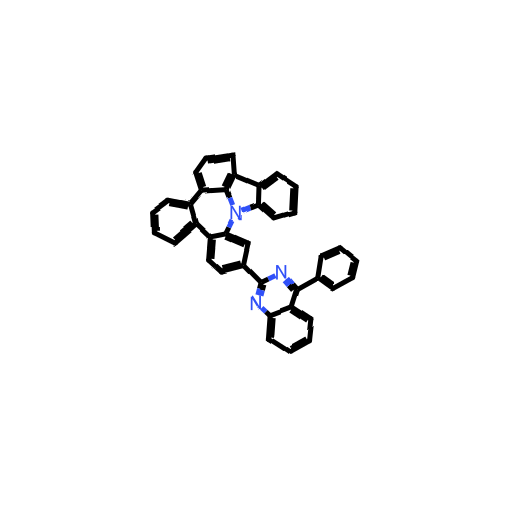 c1ccc(-c2nc(-c3ccc4c(c3)-n3c5ccccc5c5cccc(c53)-c3ccccc3-4)nc3ccccc23)cc1